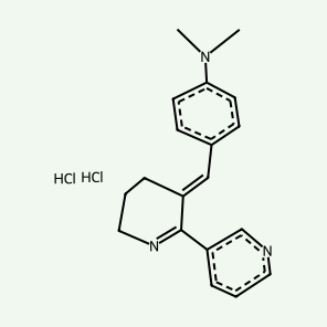 CN(C)c1ccc(C=C2CCCN=C2c2cccnc2)cc1.Cl.Cl